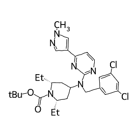 CC[C@@H]1CC(N(Cc2cc(Cl)cc(Cl)c2)c2nccc(-c3cnn(C)c3)n2)C[C@H](CC)N1C(=O)OC(C)(C)C